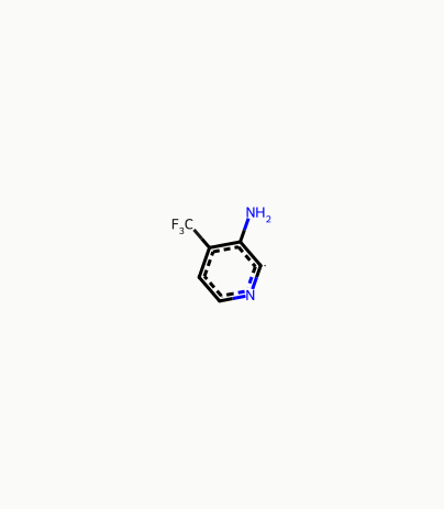 Nc1[c]nccc1C(F)(F)F